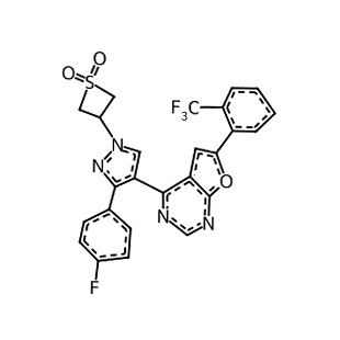 O=S1(=O)CC(n2cc(-c3ncnc4oc(-c5ccccc5C(F)(F)F)cc34)c(-c3ccc(F)cc3)n2)C1